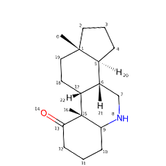 C[C@@]12CCC[C@H]1[C@@H]1CNC3CCCC(=O)[C@]3(C)[C@@H]1CC2